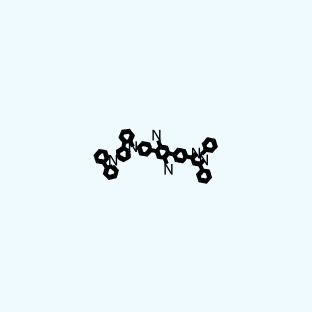 N#Cc1cc(-c2ccc(-n3c4ccccc4c4cc(-n5c6ccccc6c6ccccc65)ccc43)cc2)c(C#N)cc1-c1ccc(-c2cc(-c3ccccc3)nc(-c3ccccc3)n2)cc1